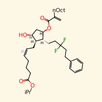 C=C(CCCCCCCC)C(=O)O[C@@H]1C[C@H](O)[C@H](C/C=C\CCCC(=O)OC(C)C)[C@H]1CCC(F)(F)CCc1ccccc1